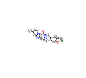 Cc1ccn2c(C(=O)NCc3ccc4c(c3)CC(F)O4)c(C)nc2c1